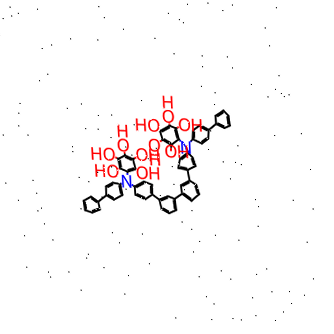 Oc1c(O)c(O)c(N(c2ccc(-c3ccccc3)cc2)c2ccc(-c3cccc(-c4cccc(-c5ccc(N(c6ccc(-c7ccccc7)cc6)c6c(O)c(O)c(O)c(O)c6O)cc5)c4)c3)cc2)c(O)c1O